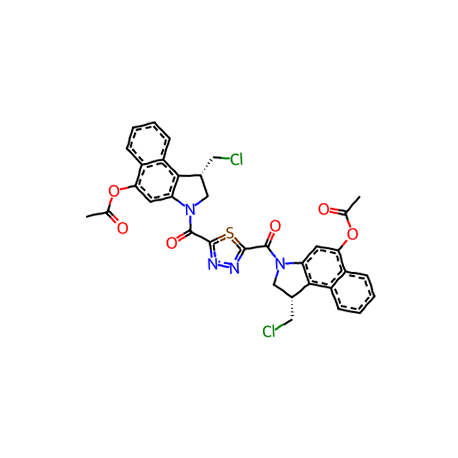 CC(=O)Oc1cc2c(c3ccccc13)[C@H](CCl)CN2C(=O)c1nnc(C(=O)N2C[C@@H](CCl)c3c2cc(OC(C)=O)c2ccccc32)s1